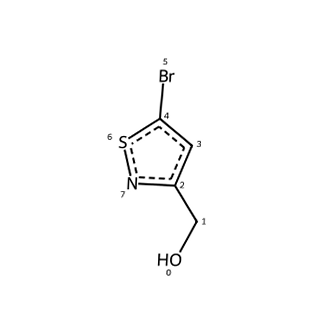 OCc1cc(Br)sn1